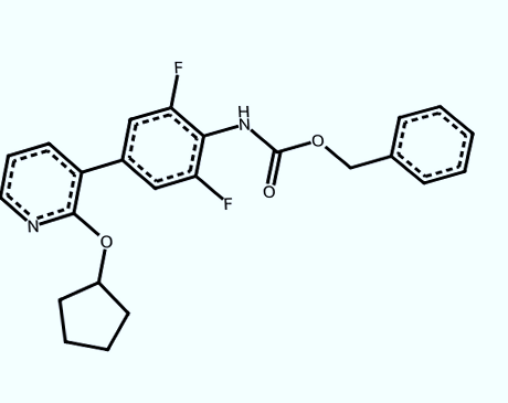 O=C(Nc1c(F)cc(-c2cccnc2OC2CCCC2)cc1F)OCc1ccccc1